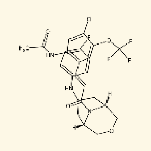 CC(=O)Nc1cc(Cl)c(OC(F)(F)F)cc1C=CC(=O)N1[C@@H]2COC[C@H]1CC(Nc1ccc(F)cc1)C2